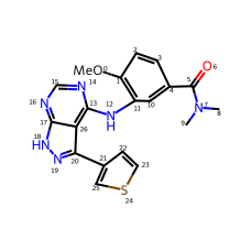 COc1ccc(C(=O)N(C)C)cc1Nc1ncnc2[nH]nc(-c3ccsc3)c12